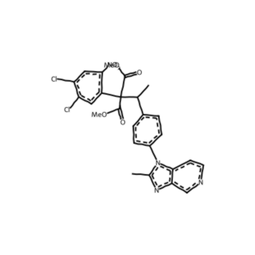 COC(=O)C(C(=O)OC)(c1cc(Cl)c(Cl)cc1[N+](=O)[O-])C(C)c1ccc(-n2c(C)nc3cnccc32)cc1